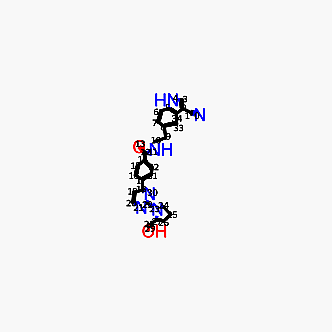 N#Cc1c[nH]c2ccc(CCNC(=O)c3ccc(-c4ccnc(N5CCCC5CO)n4)cc3)cc12